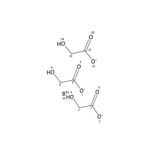 O=C([O-])CO.O=C([O-])CO.O=C([O-])CO.[B+3]